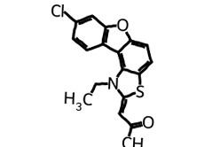 CCN1C(=CC(C)=O)Sc2ccc3oc4cc(Cl)ccc4c3c21